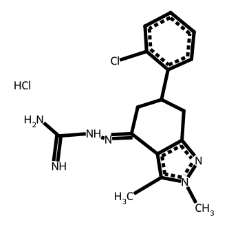 Cc1c2c(nn1C)CC(c1ccccc1Cl)CC2=NNC(=N)N.Cl